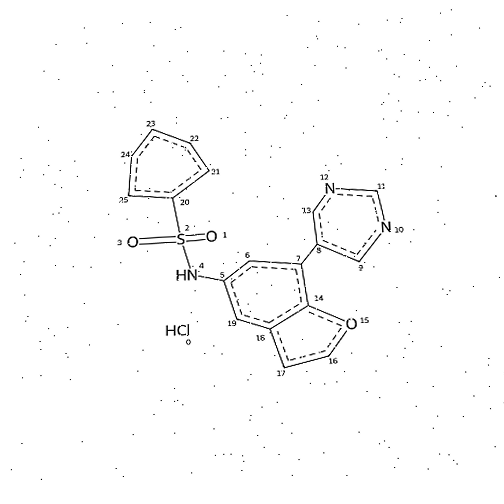 Cl.O=S(=O)(Nc1cc(-c2cncnc2)c2occc2c1)c1ccccc1